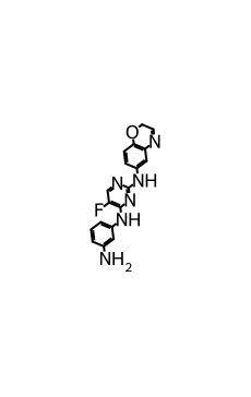 Nc1cccc(Nc2nc(Nc3ccc4c(c3)N=CCO4)ncc2F)c1